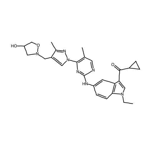 CCn1cc(C(=O)C2CC2)c2cc(Nc3ncc(C)c(-n4cc(CN5CC(O)CO5)c(C)n4)n3)ccc21